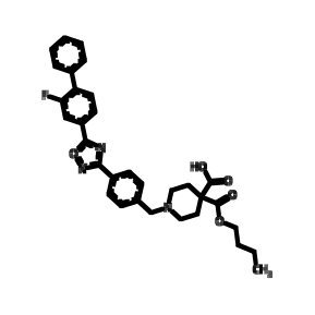 CCCCOC(=O)C1(C(=O)O)CCN(Cc2ccc(-c3noc(-c4ccc(-c5ccccc5)c(F)c4)n3)cc2)CC1